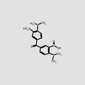 CN(C)c1ccc(C(=O)c2ccc(N(C)C)c(S(=O)(=O)O)c2)cc1S(=O)O